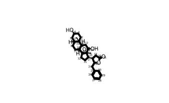 C[C@]12CC[C@H](O)C[C@H]1CC[C@@H]1[C@@H]2C[C@@H](O)[C@]2(C)[C@@H](C3CC(=O)OC3Cc3ccccc3)CC[C@]12O